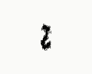 O=C(NCOCCS(=O)(=O)N1CCN(c2cnc3ccc(-c4cnc(Cl)c(NS(=O)(=O)c5ccc(F)cc5)c4)cc3n2)CC1)c1ccc(F)c(F)c1Nc1ccc(I)cc1F